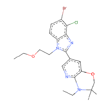 CCOCCn1c(-c2cnc3c(c2)OCC(C)(C)N3CC)nc2c(Cl)c(Br)ccc21